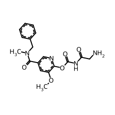 COc1cc(C(=O)N(C)Cc2ccccc2)cnc1OC(=O)NC(=O)CN